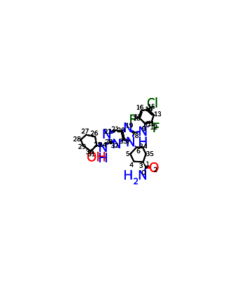 NC(=O)[C@H]1CC[C@H](n2c(Nc3c(F)cc(Cl)cc3F)nc3cnc(N[C@@H]4CCCC[C@H]4O)nc32)CC1